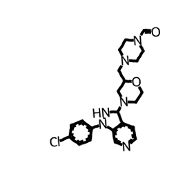 O=CN1CCN(CC2CN(C3NN(c4ccc(Cl)cc4)c4cnccc43)CCO2)CC1